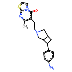 Cc1nc2sccn2c(=O)c1CCN1CC2CC(c3ccc(N)cc3)C2C1